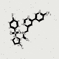 O=C(NCc1cc(-c2ccc(C(F)(F)F)nc2)ncn1)[C@@H]1[C@@H](F)CCN1S(=O)(=O)c1ccc(F)cc1